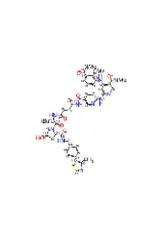 CNC(=O)c1cnc(Nc2ccc(C(=O)NC(=O)CCC(=O)N[C@H](C(=O)N3C[C@H](O)C[C@H]3C(=O)NCc3ccc(-c4scnc4C)cc3)C(C)(C)C)cn2)cc1Nc1cccc(C(=O)NC)c1OC